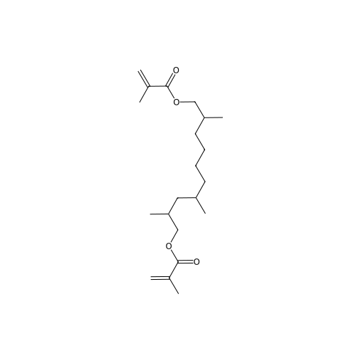 C=C(C)C(=O)OCC(C)CCCCC(C)CC(C)COC(=O)C(=C)C